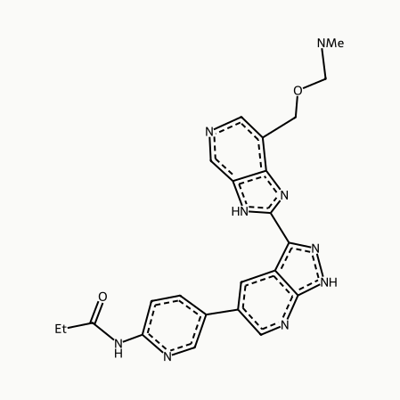 CCC(=O)Nc1ccc(-c2cnc3[nH]nc(-c4nc5c(COCNC)cncc5[nH]4)c3c2)cn1